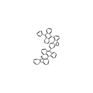 C1=CCc2c(sc3c(-c4c5ccccc5c(-c5ccc6c(c5)oc5cccc(-c7c8ccccc8c(-c8ccccc8)c8ccccc78)c56)c5ccccc45)cccc23)C=C1